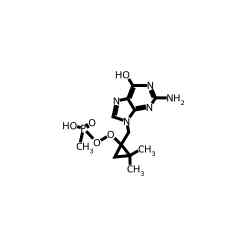 CC1(C)CC1(Cn1cnc2c(O)nc(N)nc21)OOP(C)(=O)O